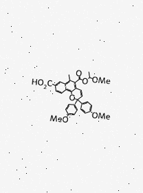 COc1ccc(C2(c3ccc(OC)cc3)C=Cc3c(C(=O)OC(C)OC)c(C)c4cc(C(=O)O)ccc4c3O2)cc1